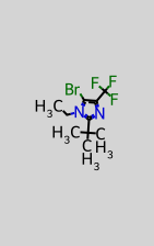 CCn1c(C(C)(C)C)nc(C(F)(F)F)c1Br